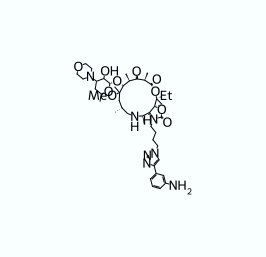 CC[C@]12C[C@@]13OC(=O)N(CCCCn1cc(-c4cccc(N)c4)nn1)[C@@H]3[C@@H](C)NC[C@H](C)C[C@@](C)(OC)[C@H](O[C@@H]1OC(C)CC(N3CCOCC3)C1O)[C@@H](C)C(=O)[C@@H](C)C(=O)O2